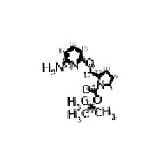 CC(C)(C)OC(=O)N1CCCC1COc1cccc(N)n1